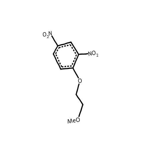 COCCOc1ccc([N+](=O)[O-])cc1[N+](=O)[O-]